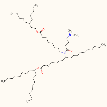 CCCCCCCCCCC(CCCCC=CC(=O)OC(CCCCCCCC)CCCCCCCC)N(CCCCCCCC(=O)OCCC(CCCCC)CCCCC)C(=O)CCCN(C)C